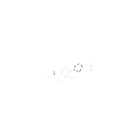 CC(C)(C)NC(=O)[C@H]1CCC2C3CCc4cc(OS(=O)(=O)F)ccc4C3CC[C@@]21C